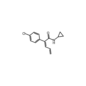 C=CC=C(C(=O)NC1CC1)c1ccc(Cl)cc1